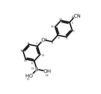 N#Cc1ccc(COc2cccc(B(O)O)c2)cc1